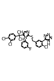 CC(C)(c1ccc(Cl)c(Cl)c1)c1cnc(SCc2ccc(Cl)c(-c3nnn[nH]3)c2)n1-c1cccc(F)c1